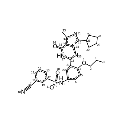 CCCOc1ccc(NS(=O)(=O)c2cccc(C#N)c2)cc1-c1nn2c(C3CCCC3)nc(C)c2c(=O)[nH]1